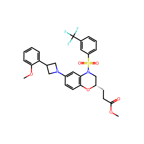 COC(=O)CC[C@H]1CN(S(=O)(=O)c2cccc(C(F)(F)F)c2)c2cc(N3CC(c4ccccc4OC)C3)ccc2O1